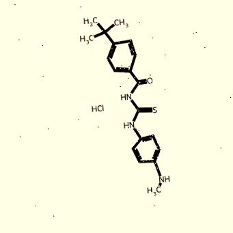 CNc1ccc(NC(=S)NC(=O)c2ccc(C(C)(C)C)cc2)cc1.Cl